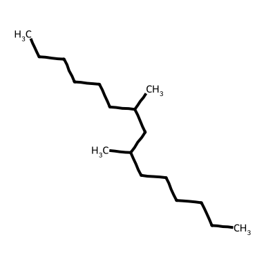 CCCCCCC(C)CC(C)CCCCCC